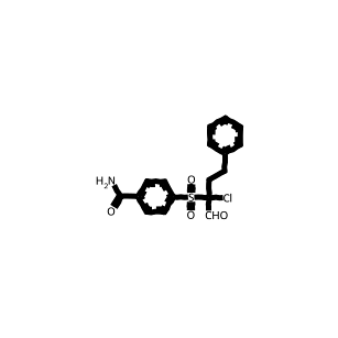 NC(=O)c1ccc(S(=O)(=O)C(Cl)(C=O)CCc2ccccc2)cc1